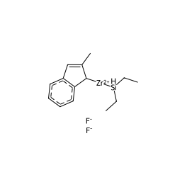 CC[SiH](CC)[Zr+2][CH]1C(C)=Cc2ccccc21.[F-].[F-]